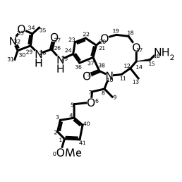 COc1ccc(COCC(C)N2CC(C)[C@H](CN)OCCOc3ccc(NC(=O)Nc4c(C)noc4C)cc3C2=O)cc1